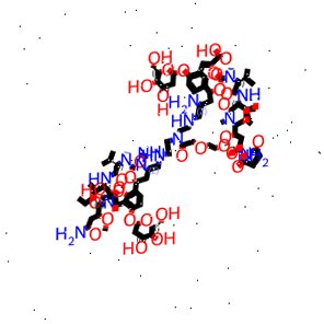 CCC(C)C(C(CC(N)=O)OC)N(C)C(=O)[C@@H](NC(=O)[C@H](C(C)C)N(C)C(=O)OC(C/C(N)=C/NCCN(CCN/C=C(/CC(OC(=O)N(C)[C@H](C(=O)N[C@H](C(=O)N(C)[C@@H](C(C)CC)C(CC(N)=O)OC)C(C)C)C(C)C)c1ccc(OC2C[C@@H](O)C(O)[C@@H](CO)O2)c2cc(C(=O)O)oc12)N=N)C(=O)COCCOCCN1C(=O)C=CC1=O)c1ccc(OC2C[C@@H](O)C(O)[C@@H](CO)O2)c2cc(C(=O)O)oc12)C(C)C